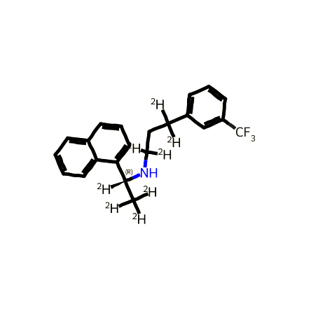 [2H]C([2H])(CC([2H])([2H])c1cccc(C(F)(F)F)c1)N[C@@]([2H])(c1cccc2ccccc12)C([2H])([2H])[2H]